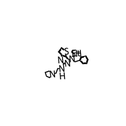 CCc1ccccc1CN(S)c1nc(NCCN2CCCC2)nc2ccsc12